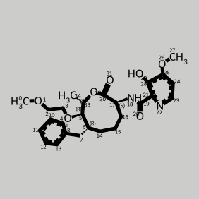 COCCO[C@@H]1[C@@H](Cc2ccccc2)CCC[C@H](NC(=O)c2nccc(OC)c2O)C(=O)O[C@H]1C